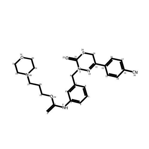 C=C(Nc1cccc(CN2N=C(c3ccc(C#N)cc3)CSC2=O)c1)OCCCN1CCOCC1